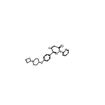 CC1CC(=O)N(c2ccccn2)N=C1c1ccc(OC2CCN(C3CCC3)CC2)cc1